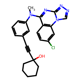 CN(c1cccc(C#CC2(O)CCCCC2)c1)c1nc2nncn2c2cc(Cl)ccc12